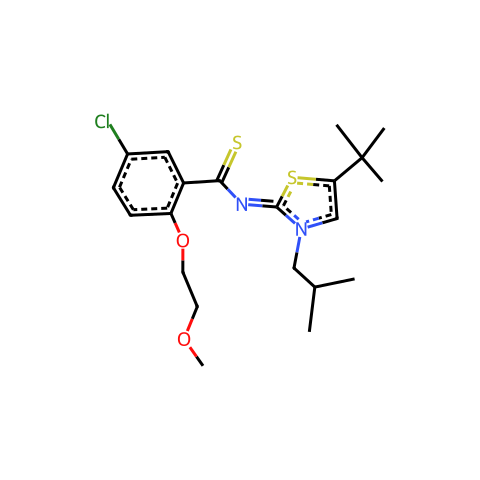 COCCOc1ccc(Cl)cc1C(=S)N=c1sc(C(C)(C)C)cn1CC(C)C